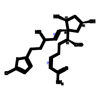 NC(=O)/C=C\CC[C@@H]([C]=O)[C@]1(/C=C/C(O)CCc2ccc(Cl)s2)C[C@@H](O)C[C@@H]1O